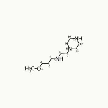 COCCCNCCN1CCNCC1